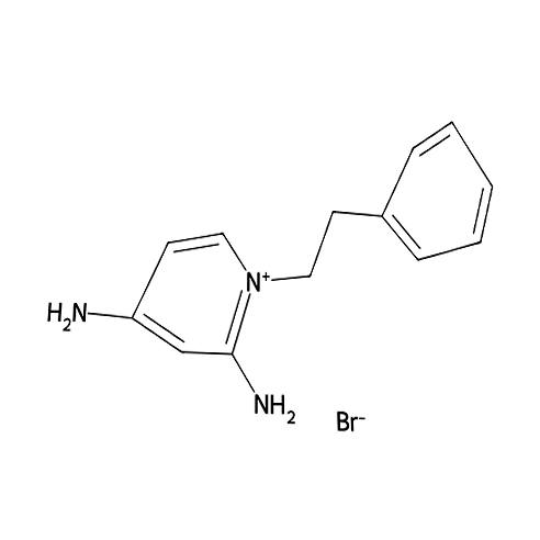 Nc1cc[n+](CCc2ccccc2)c(N)c1.[Br-]